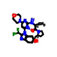 C[C@H](Nc1nc(N2CCOCC2)cc(-n2c(C(F)F)nc3ccccc32)n1)C(=O)N1CCC[C@H]1CO